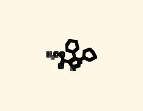 COC(=O)c1ncn(C2CCCCC2)c1C1CCCCC1